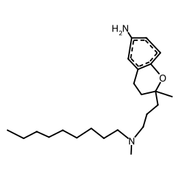 CCCCCCCCCN(C)CCCC1(C)CCc2cc(N)ccc2O1